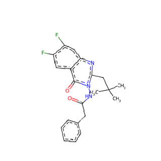 CC(C)(C)Cc1nc2cc(F)c(F)cc2c(=O)n1NC(=O)Cc1ccccc1